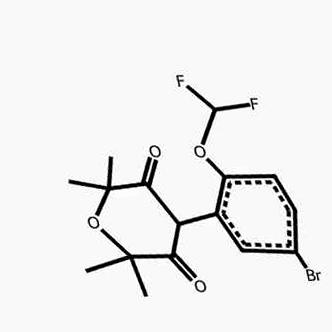 CC1(C)OC(C)(C)C(=O)C(c2cc(Br)ccc2OC(F)F)C1=O